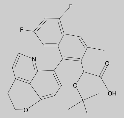 Cc1cc2c(F)cc(F)cc2c(-c2ccc3c4c(ccnc24)CCO3)c1C(OC(C)(C)C)C(=O)O